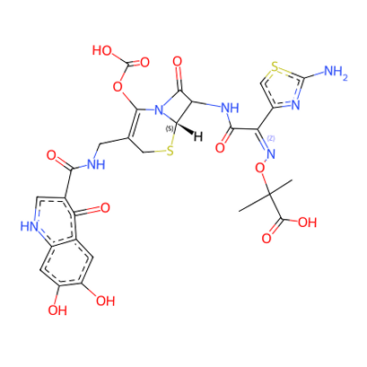 CC(C)(O/N=C(\C(=O)NC1C(=O)N2C(OC(=O)O)=C(CNC(=O)c3c[nH]c4cc(O)c(O)cc4c3=O)CS[C@@H]12)c1csc(N)n1)C(=O)O